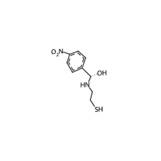 O=[N+]([O-])c1ccc([C@H](O)NCCS)cc1